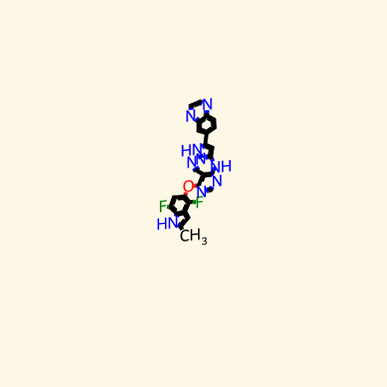 Cc1cc2c(F)c(Oc3ncnc(Nc4cc(-c5ccc6nccnc6c5)[nH]n4)c3C#N)cc(F)c2[nH]1